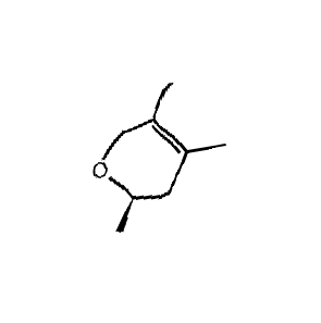 CC1=C(C)C[C@@H](C)OC1